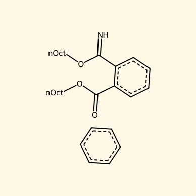 CCCCCCCCOC(=N)c1ccccc1C(=O)OCCCCCCCC.c1ccccc1